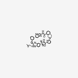 CN(C)CC[C@H](COc1ccccc1)Nc1ccc(S(=O)(=O)NC(=O)c2cccc(N3CCc4cccc(C(=O)Nc5cn6ncccc6n5)c4C3)n2)cc1[N+](=O)[O-]